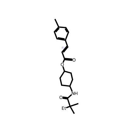 CCC(C)(C)C(=O)NC1CCC(OC(=O)/C=C/c2ccc(C)cc2)CC1